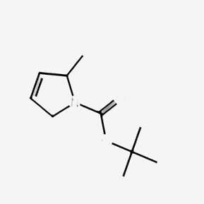 CC1C=CCN1C(=O)OC(C)(C)C